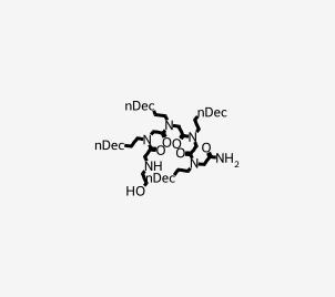 CCCCCCCCCCCCN(CC(N)=O)C(=O)CN(CCCCCCCCCCCC)C(=O)CN(CCCCCCCCCCCC)C(=O)CN(CCCCCCCCCCCC)C(=O)CNCCO